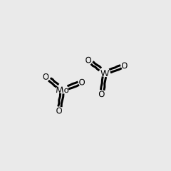 [O]=[Mo](=[O])=[O].[O]=[W](=[O])=[O]